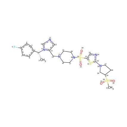 C[C@H](c1ccc(F)cc1)n1cncc1CN1CCN(S(=O)(=O)c2cnc(N3CCC(S(C)(=O)=O)C3)s2)CC1